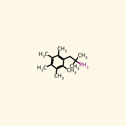 Cc1c(C)c(C)c(CC(C)(C)P)c(C)c1C